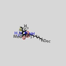 CCCCCCCCCCCCCCCCCCNC(=O)ON1C(C)=C(C(=O)OC)C(N)=C(C2CCS2)C1C